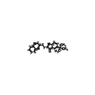 CC(C)(C)C1=CC2NC(CCc3cnc4ccccc4n3)=NC2C=C1